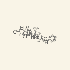 CCCN(c1nc(-c2ccc(Cl)cc2Cl)c(C)s1)C(c1ccc(C(C)OCc2ccccc2)cc1)C1CC1